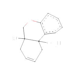 CCC12CC=CCC1(C(=O)O)c1ccccc1OC2